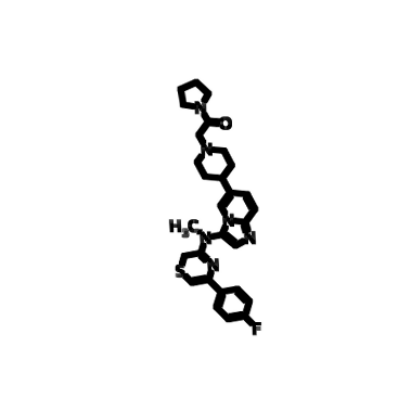 CN(C1=NC(c2ccc(F)cc2)=CSC1)c1cnc2ccc(C3CCN(CC(=O)N4CCCC4)CC3)cn12